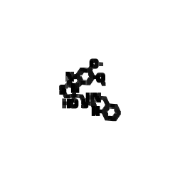 COc1cc2nc3n(c2cc1OC)C(O)(CSC1=Nc2ccccc2CN1)CS3